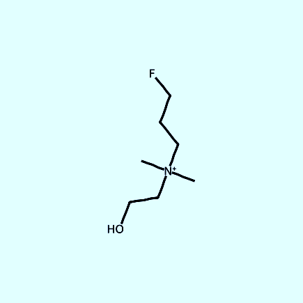 C[N+](C)(CCO)CCCF